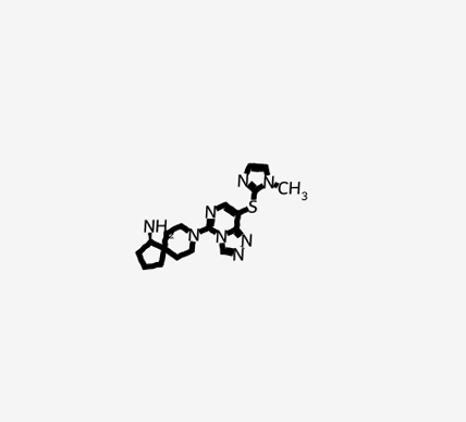 Cn1ccnc1Sc1cnc(N2CCC3(CCC[C@H]3N)CC2)n2cnnc12